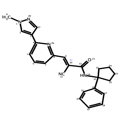 Cn1cc(-c2cccc(/C=C(\C#N)C(=O)NC3(c4ccccc4)CCCC3)n2)cn1